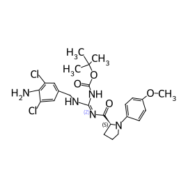 COc1ccc(N2CCC[C@H]2C(=O)/N=C(/NCc2cc(Cl)c(N)c(Cl)c2)NC(=O)OC(C)(C)C)cc1